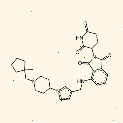 CC1(CN2CCC(n3cc(CNc4cccc5c4C(=O)N(C4CCC(=O)NC4=O)C5=O)cn3)CC2)CCCC1